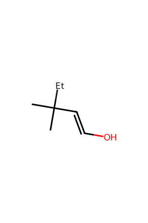 CCC(C)(C)C=CO